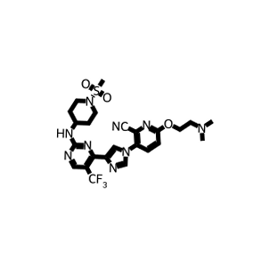 CN(C)CCOc1ccc(-n2cnc(-c3nc(NC4CCN(S(C)(=O)=O)CC4)ncc3C(F)(F)F)c2)c(C#N)n1